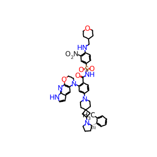 Cc1ccccc1[C@@H]1CCCN1C1CC2(CCN(c3ccc(C(=O)NS(=O)(=O)c4ccc(NCC5CCOCC5)c([N+](=O)[O-])c4)c(N4CCOc5nc6[nH]ccc6cc54)c3)CC2)C1